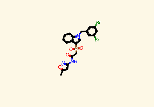 Cc1cc(NC(=O)CS(=O)(=O)c2cn(Cc3cc(Br)cc(Br)c3)c3ccccc23)no1